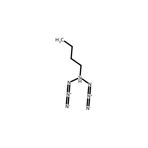 CCCC[SiH](N=[N+]=[N-])N=[N+]=[N-]